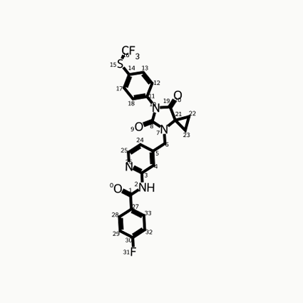 O=C(Nc1cc(CN2C(=O)N(c3ccc(SC(F)(F)F)cc3)C(=O)C23CC3)ccn1)c1ccc(F)cc1